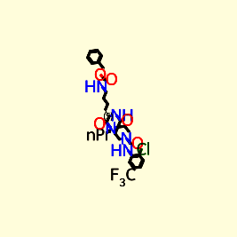 CCCN1C(=O)[C@H](CCCCNC(=O)OCc2ccccc2)NC(=O)C12CCN(C(=O)Nc1cc(C(F)(F)F)ccc1Cl)CC2